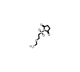 CCOCCS(=O)(=O)N1C(=O)CCC1=O